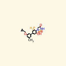 Cc1cc(OCC2CC2)cc(-c2cc(O)c(N3CC(=O)NS3(=O)=O)c(P)c2)c1